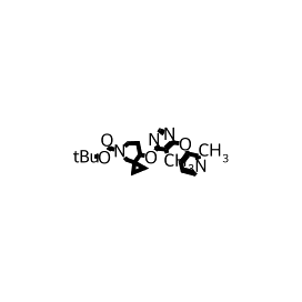 Cc1ncccc1Oc1ncnc(OC2CCN(C(=O)OC(C)(C)C)CC23CC3)c1C